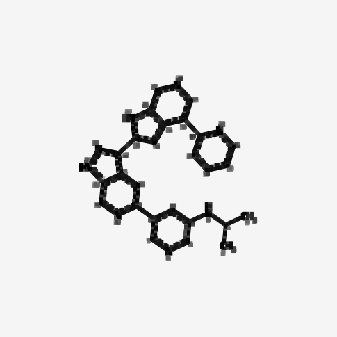 CC(C)Nc1cncc(-c2cc3c(-c4cc5c(-c6ccccn6)cncc5[nH]4)n[nH]c3cn2)c1